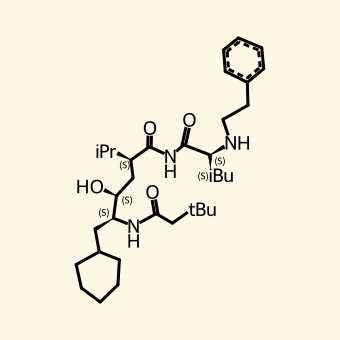 CC[C@H](C)[C@H](NCCc1ccccc1)C(=O)NC(=O)[C@@H](C[C@H](O)[C@H](CC1CCCCC1)NC(=O)CC(C)(C)C)C(C)C